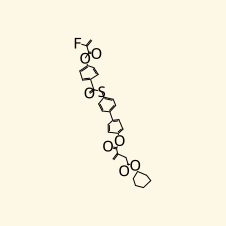 C=C(F)C(=O)Oc1ccc(C(=O)Sc2ccc(-c3ccc(OC(=O)C(=C)CC(=O)OC4CCCCC4)cc3)cc2)cc1